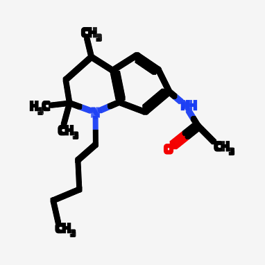 CCCCCN1c2cc(NC(C)=O)ccc2C(C)CC1(C)C